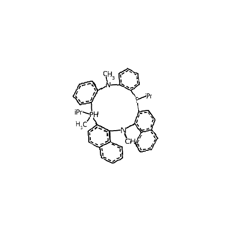 CC(C)P1c2ccccc2N(C)c2ccccc2[PH](C)(C(C)C)c2ccc3ccccc3c2N(C)c2c1ccc1ccccc21